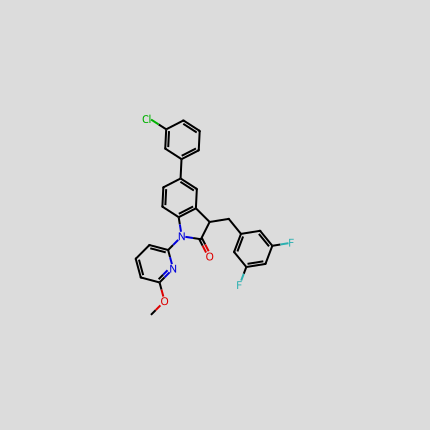 COc1cccc(N2C(=O)C(Cc3cc(F)cc(F)c3)c3cc(-c4cccc(Cl)c4)ccc32)n1